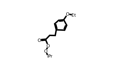 CCOc1ccc(CCC(=O)OOC(C)C)cc1